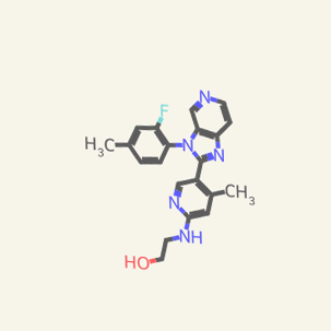 Cc1ccc(-n2c(-c3cnc(NCCO)cc3C)nc3ccncc32)c(F)c1